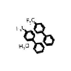 FC(F)(F)c1ccc(-c2ccccc2)cc1.FC(F)(F)c1ccc(-c2ccccc2)cc1.O